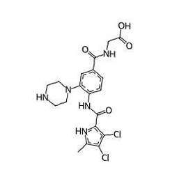 Cc1[nH]c(C(=O)Nc2ccc(C(=O)NCC(=O)O)cc2N2CCNCC2)c(Cl)c1Cl